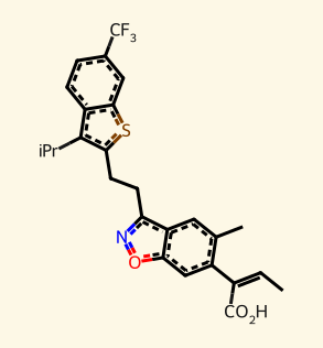 CC=C(C(=O)O)c1cc2onc(CCc3sc4cc(C(F)(F)F)ccc4c3C(C)C)c2cc1C